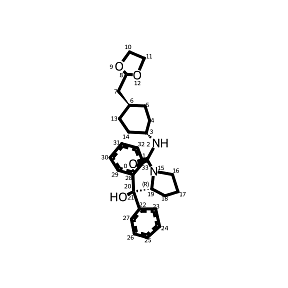 O=C(N[C@H]1CC[C@H](CC2OCCO2)CC1)N1CCC[C@@H]1C(O)(c1ccccc1)c1ccccc1